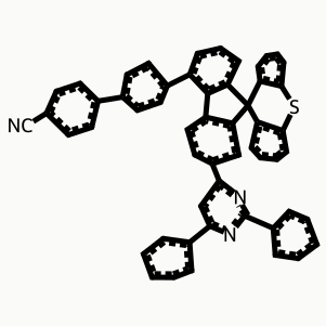 N#Cc1ccc(-c2ccc(-c3cccc4c3-c3ccc(-c5cc(-c6ccccc6)nc(-c6ccccc6)n5)cc3C43c4ccccc4Sc4ccccc43)cc2)cc1